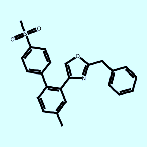 Cc1ccc(-c2ccc(S(C)(=O)=O)cc2)c(-c2coc(Cc3ccccc3)n2)c1